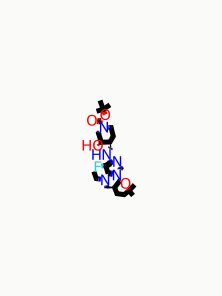 CCN(C[C@@H]1CCC(C)(C)OC1)c1ncnc(NC[C@H]2CCN(C(=O)OC(C)(C)C)C[C@@H]2O)c1F